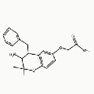 CC1(C)Oc2ccc(OCC(N)=O)cc2C(Cc2ccccc2)C1N